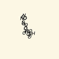 O=C1CCC(N2Cc3cc(O[C@H]4CCN(Cc5cccc6nccnc56)C4)ccc3C2=O)C(=O)N1